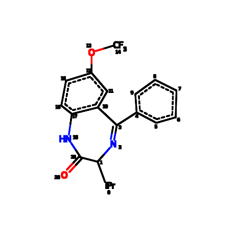 CC(C)C1N=C(c2ccccc2)c2cc(OC(F)(F)F)ccc2NC1=O